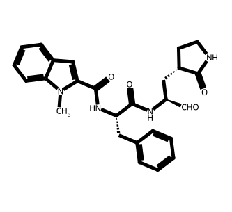 Cn1c(C(=O)N[C@@H](Cc2ccccc2)C(=O)N[C@H](C=O)C[C@@H]2CCNC2=O)cc2ccccc21